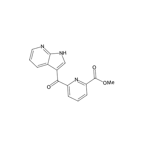 COC(=O)c1cccc(C(=O)c2c[nH]c3ncccc23)n1